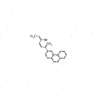 C=C(/C=C\C(Br)=C/C)c1ccc2ccc3ccccc3c2c1